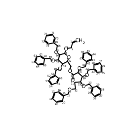 C=CCOC1OC(COC2OC(COCc3ccccc3)C(OCc3ccccc3)C(OCc3ccccc3)C2OCc2ccccc2)C(OCc2ccccc2)C(OCc2ccccc2)C1OCc1ccccc1